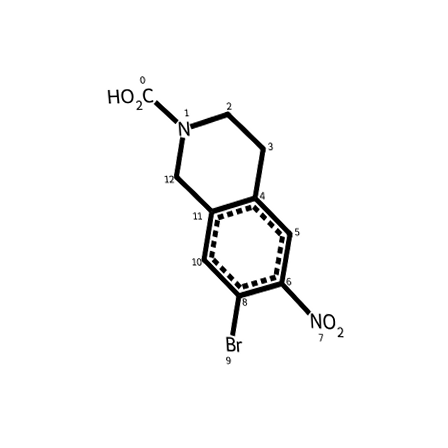 O=C(O)N1CCc2cc([N+](=O)[O-])c(Br)cc2C1